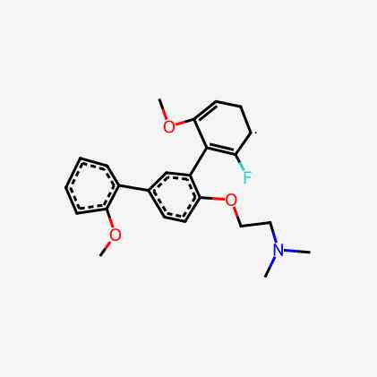 COC1=CC[CH]C(F)=C1c1cc(-c2ccccc2OC)ccc1OCCN(C)C